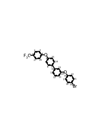 FC(F)(F)c1ccc(Oc2ccc(-c3[c]ccc(Oc4ccc(Br)cc4)c3)cc2)cc1